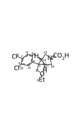 CCOCC1(c2ccc(Cl)c(Cl)c2)[C@@H]2CN(C(=O)O)C[C@@H]21